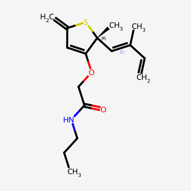 C=C/C(C)=C/[C@@]1(C)SC(=C)C=C1OCC(=O)NCCC